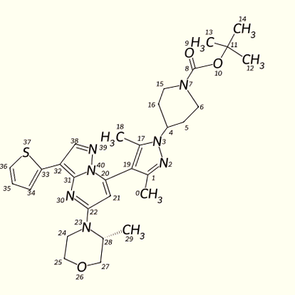 Cc1nn(C2CCN(C(=O)OC(C)(C)C)CC2)c(C)c1-c1cc(N2CCOC[C@H]2C)nc2c(-c3cccs3)cnn12